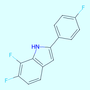 Fc1ccc(-c2cc3ccc(F)c(F)c3[nH]2)cc1